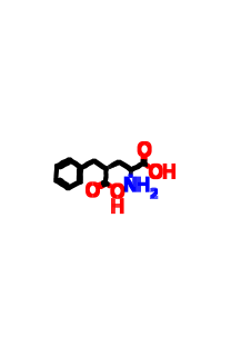 N[C@@H](C[C@H](Cc1ccccc1)C(=O)O)C(=O)O